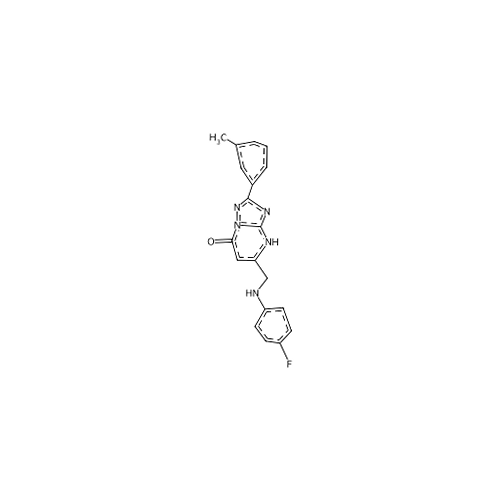 Cc1cccc(-c2nc3[nH]c(CNc4ccc(F)cc4)cc(=O)n3n2)c1